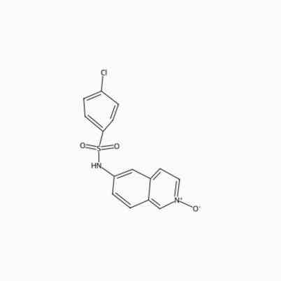 O=S(=O)(Nc1ccc2c[n+]([O-])ccc2c1)c1ccc(Cl)cc1